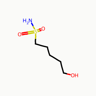 NS(=O)(=O)CCCCCO